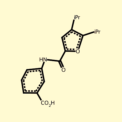 CC(C)c1cc(C(=O)Nc2cccc(C(=O)O)c2)oc1C(C)C